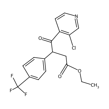 CCOC(=O)CC(C(=O)c1ccncc1Cl)c1ccc(C(F)(F)F)cc1